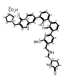 COc1nc(-c2cccc(-c3cccc(-c4ccn5c(=O)c(CN6CC[C@H](C(=O)O)C6)cnc5c4)c3Cl)c2Cl)ccc1CNC[C@H]1CCC(=O)N1